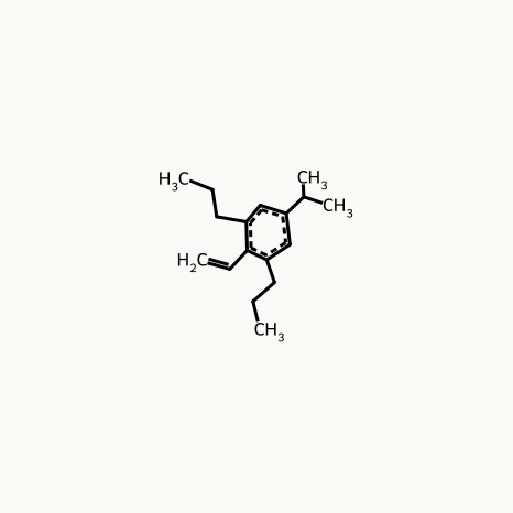 C=Cc1c(CCC)cc(C(C)C)cc1CCC